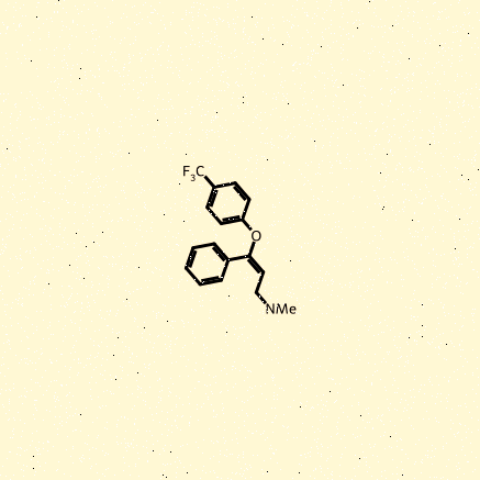 CNCC=C(Oc1ccc(C(F)(F)F)cc1)c1ccccc1